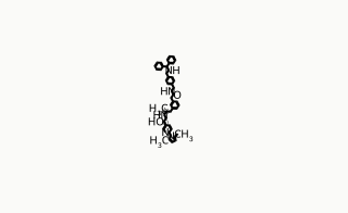 Cc1ccc(C)n1-c1ccc([C@H](O)CN[C@H](C)Cc2cccc(CC(=O)NCc3ccc(CNC(c4ccccc4)c4ccccc4)cc3)c2)cn1